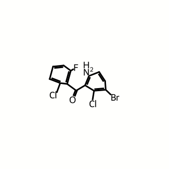 Nc1ccc(Br)c(Cl)c1C(=O)c1c(F)cccc1Cl